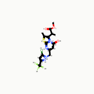 COC(=O)C(C)c1c(C)sc2nc(Cn3nc(C(F)(F)F)cc3Cl)cc(=O)n12